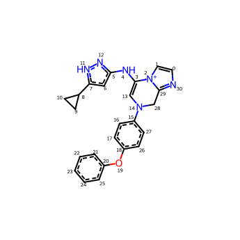 C1=C[N+]2C(Nc3cc(C4CC4)[nH]n3)=CN(c3ccc(Oc4ccccc4)cc3)CC2=N1